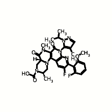 COc1cccc(F)c1-c1nc2c(cc1F)c1c(c(=O)n2-c2c(C)cnn2C(C)C)N(C)C(=O)[C@H]2CN(C(=O)O)[C@H](C)CN12